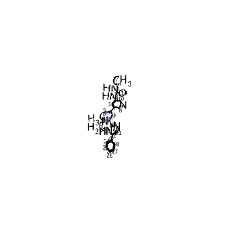 C=N/C(=C\C(=C/C)c1cncc(NC(=O)NCC)c1)c1ncc(-c2ccccc2)[nH]1